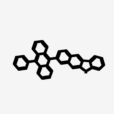 c1ccc(-c2c3ccccc3c(-c3ccc4cc5c(cc4c3)sc3ccccc35)c3ccccc23)cc1